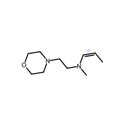 C/C=C\N(C)CCN1CCOCC1